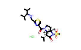 CC(C)C(NCc1nc(C(=O)N2CC[C@H]3[C@H]2[C@@H](C(C)C)C(=O)N3S(C)(=O)=O)cs1)C(C)C.Cl